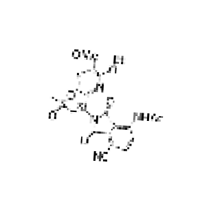 CCOc1nc([C@H](CS(C)(=O)=O)N2C(=O)c3c(C#N)ccc(NC(C)=O)c3C2=O)ccc1OC